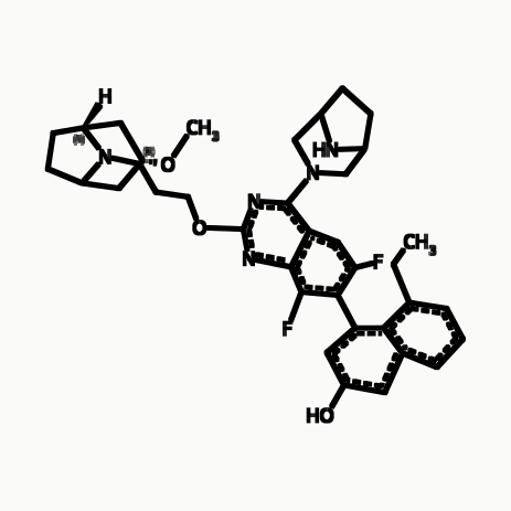 CCc1cccc2cc(O)cc(-c3c(F)cc4c(N5CC6CCC(C5)N6)nc(OCCCN5C6CC[C@@H]5C[C@H](OC)C6)nc4c3F)c12